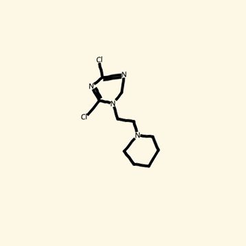 ClC1=NCN(CCN2CCCCC2)C(Cl)=N1